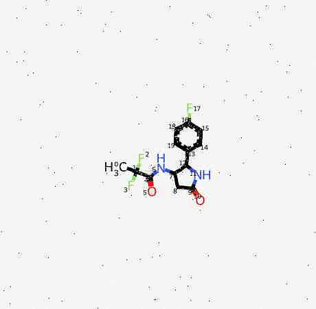 CC(F)(F)C(=O)NC1CC(=O)NC1c1ccc(F)cc1